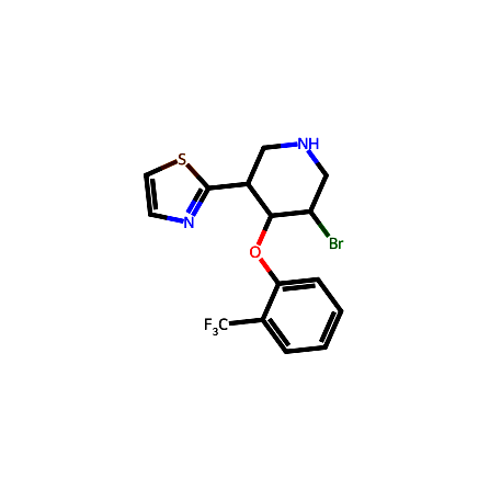 FC(F)(F)c1ccccc1OC1C(Br)CNCC1c1nccs1